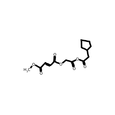 COC(=O)C=CC(=O)OCC(=O)OC(=O)CC1CCCC1